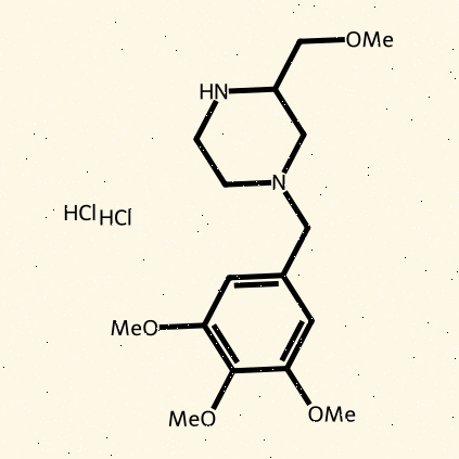 COCC1CN(Cc2cc(OC)c(OC)c(OC)c2)CCN1.Cl.Cl